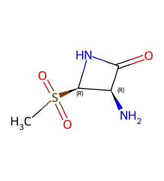 CS(=O)(=O)[C@H]1NC(=O)[C@H]1N